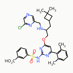 Cc1cccc(C)c1-c1cc(OCC(CC2CC(C)(C)C2)NCc2cncc(Cl)n2)nc(NS(=O)(=O)c2cccc(C(=O)O)c2)n1